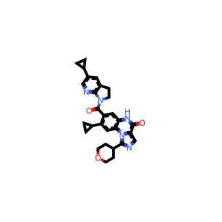 O=C(c1cc2[nH]c(=O)c3cnc(C4CCOCC4)n3c2cc1C1CC1)N1CCc2cc(C3CC3)cnc21